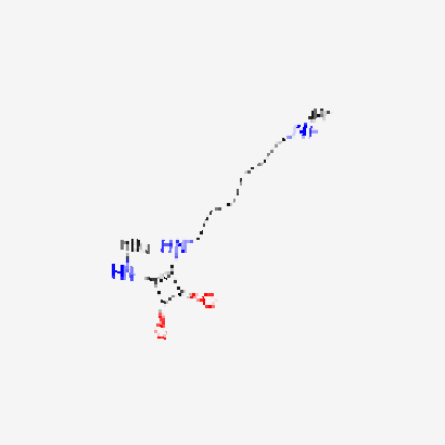 CCCCNc1c(NCCCCCCNC(C)C)c(=O)c1=O